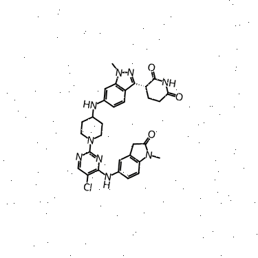 CN1C(=O)Cc2cc(Nc3nc(N4CCC(Nc5ccc6c([C@H]7CCC(=O)NC7=O)nn(C)c6c5)CC4)ncc3Cl)ccc21